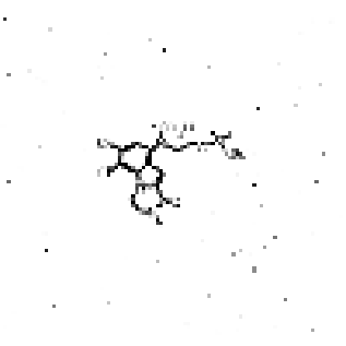 CN1CCn2c(cc3c(N(CCO[Si](C)(C)C(C)(C)C)C(=O)O)cc(Cl)c(Cl)c32)C1=O